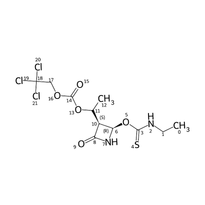 CCNC(=S)O[C@H]1NC(=O)[C@H]1C(C)OC(=O)OCC(Cl)(Cl)Cl